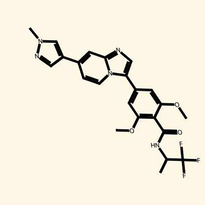 COc1cc(-c2cnc3cc(-c4cnn(C)c4)ccn23)cc(OC)c1C(=O)NC(C)C(F)(F)F